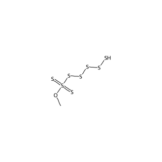 COS(=S)(=S)SSSSS